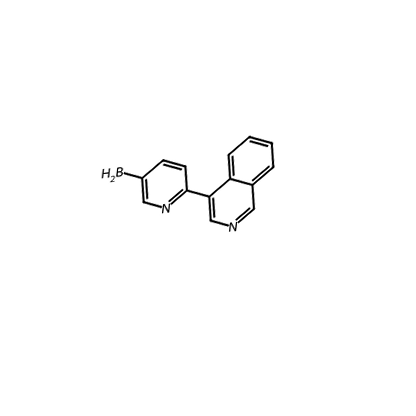 Bc1ccc(-c2cncc3ccccc23)nc1